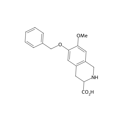 COc1cc2c(cc1OCc1ccccc1)CC(C(=O)O)NC2